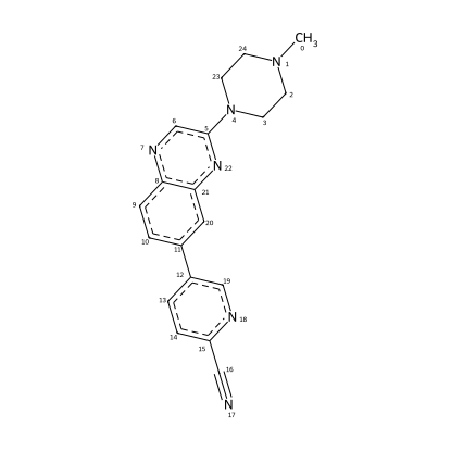 CN1CCN(c2cnc3ccc(-c4ccc(C#N)nc4)cc3n2)CC1